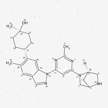 Cc1nc(N2CC3C[C@@H]2CN3)cc(-n2ncc3cc(C)c([C@H]4CC[C@](C)(O)CC4)cc32)n1